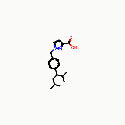 CC(C)CC(c1ccc(Cn2ccc(C(=O)O)n2)cc1)C(C)C